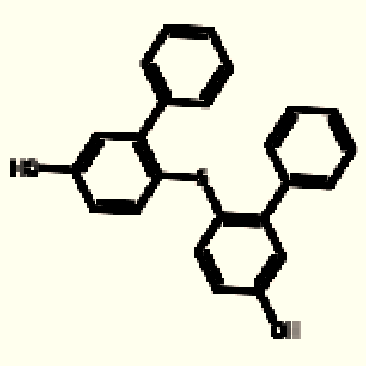 Oc1ccc(Sc2ccc(O)cc2-c2ccccc2)c(-c2ccccc2)c1